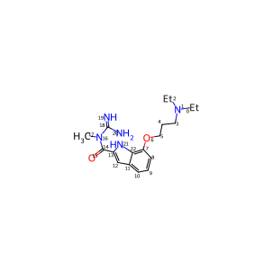 CCN(CC)CCCOc1cccc2cc(C(=O)N(C)C(=N)N)[nH]c12